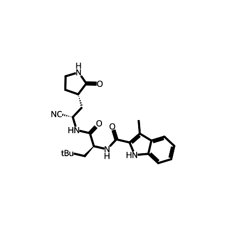 Cc1c(C(=O)N[C@@H](CC(C)(C)C)C(=O)N[C@H](C#N)C[C@@H]2CCNC2=O)[nH]c2ccccc12